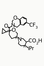 CC(C)[C@H]1CCN([C@@H]2CC[C@@](C(=O)N3COc4ccc(C(F)(F)F)cc4C3)(C3CC3)OC2)CC1C(=O)O